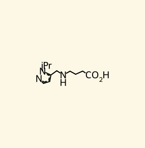 CC(C)n1nccc1CNCCCC(=O)O